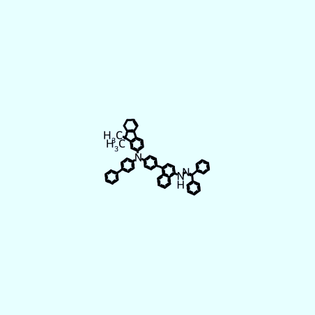 CC1(C)C2=C(C=CCC2)c2ccc(N(c3ccc(-c4ccccc4)cc3)c3ccc(-c4ccc(NN=C(c5ccccc5)c5ccccc5)c5ccccc45)cc3)cc21